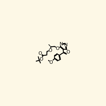 COc1ccc(-c2coc3ncnc(OC[C@H](C)OCCC(=O)OC(C)(C)C)c23)cc1